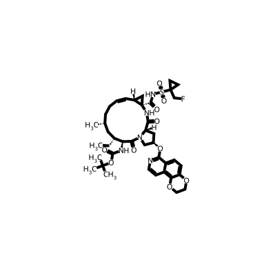 CC[C@@H]1C[C@H](C)CC/C=C\[C@@H]2C[C@@]2(C(=O)NS(=O)(=O)C2(CF)CC2)NC(=O)[C@@H]2C[C@@H](Oc3nccc4c5c(ccc34)OCCO5)CN2C(=O)[C@H]1NC(=O)OC(C)(C)C